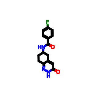 O=C(NC1CCc2n[nH]c(=O)cc2C1)c1ccc(F)cc1